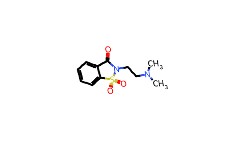 CN(C)CCN1C(=O)c2ccccc2S1(=O)=O